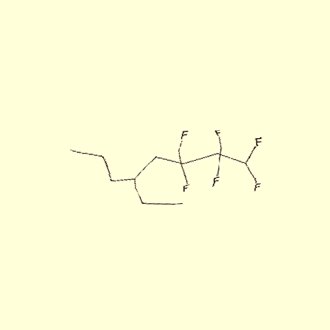 CCCC(CC)CC(F)(F)C(F)(F)C(F)F